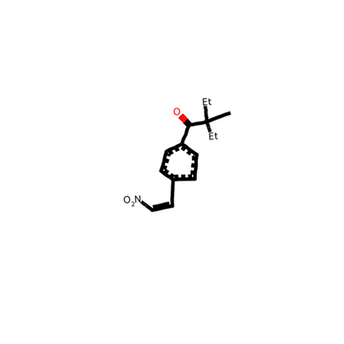 CCC(C)(CC)C(=O)c1ccc(/C=C\[N+](=O)[O-])cc1